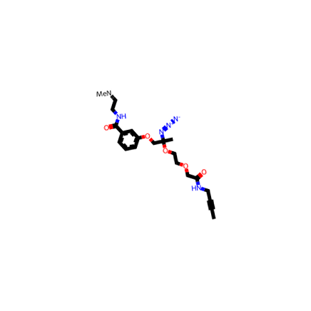 CC#CCNC(=O)COCCOC(C)(COc1cccc(C(=O)NCCNC)c1)N=[N+]=[N-]